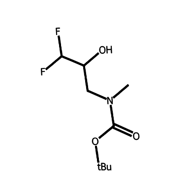 CN(CC(O)C(F)F)C(=O)OC(C)(C)C